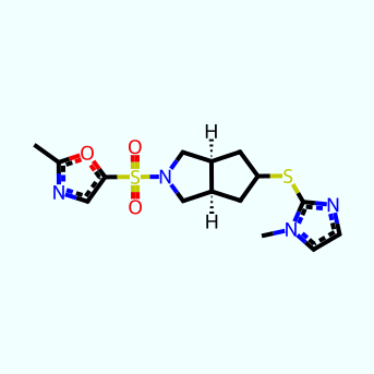 Cc1ncc(S(=O)(=O)N2C[C@H]3CC(Sc4nccn4C)C[C@H]3C2)o1